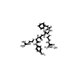 Cl.Cl.N=C(N)NCCC[C@H](NC(=O)CNC(=O)[C@@H](CCCNC(=N)N)NS(=O)(=O)Cc1ccccc1)C(=O)Nc1ccc([N+](=O)[O-])cc1